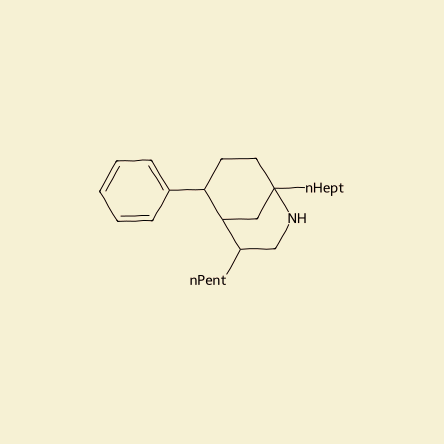 CCCCCCCC12CCC(c3ccccc3)C(C1)C(CCCCC)CN2